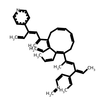 C=C/C(=C\C(=C)/C1=C(C=C)/C(/C=C\C)=C(/C(C)=C/C(=C\C)C(/C=C\N=C)=C/C)C/C=C\C=C/C1)c1ccncc1